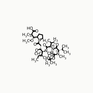 CC[C@H](C)[C@@H]([C@@H](CC(=O)N1CCCC1[C@H](OC)[C@@H](C)C(=O)O)OC)N(C)C(=O)[C@@H](NC(=O)[C@H](C(C)C)N(C)C(=O)OC(C)(C)C)C(C)C